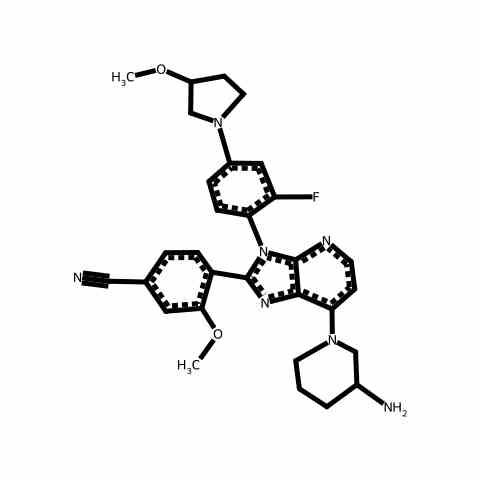 COc1cc(C#N)ccc1-c1nc2c(N3CCCC(N)C3)ccnc2n1-c1ccc(N2CCC(OC)C2)cc1F